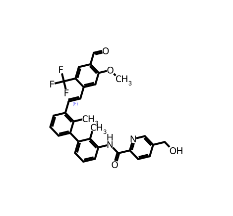 COc1cc(/C=C/c2cccc(-c3cccc(NC(=O)c4ccc(CO)cn4)c3C)c2C)c(C(F)(F)F)cc1C=O